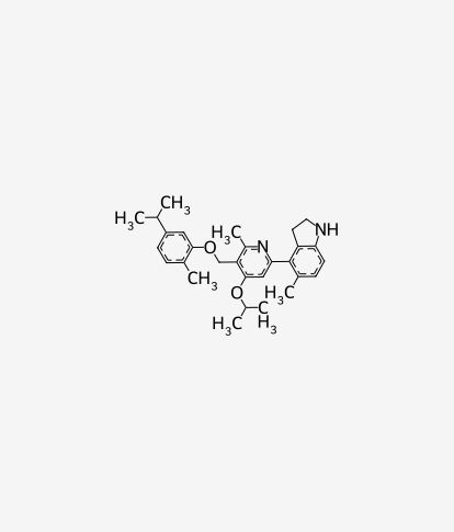 Cc1ccc(C(C)C)cc1OCc1c(OC(C)C)cc(-c2c(C)ccc3c2CCN3)nc1C